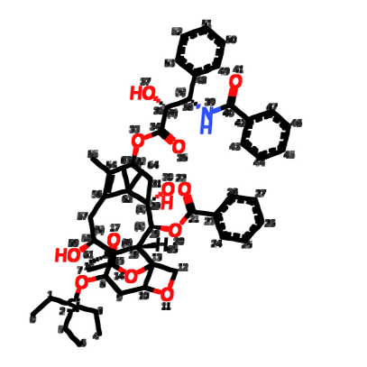 CC[Si](CC)(CC)OC1CC2OCC2(OC(C)=O)[C@H]2[C@H](OC(=O)c3ccccc3)[C@]3(O)C[C@H](OC(=O)[C@H](O)[C@@H](NC(=O)c4ccccc4)c4ccccc4)C(C)=C(C[C@H](O)[C@]12C)C3(C)C